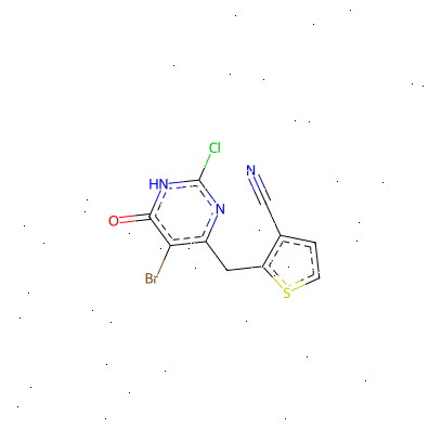 N#Cc1ccsc1Cc1nc(Cl)[nH]c(=O)c1Br